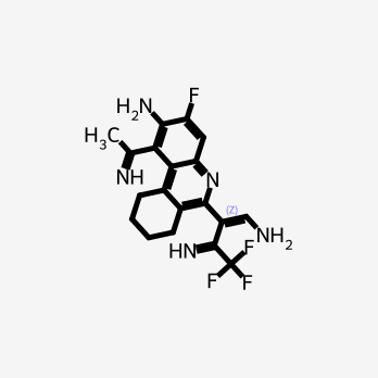 CC(=N)c1c(N)c(F)cc2nc(/C(=C/N)C(=N)C(F)(F)F)c3c(c12)CCCC3